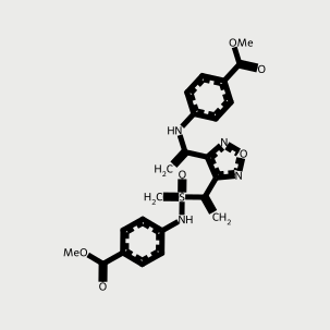 C=C(Nc1ccc(C(=O)OC)cc1)c1nonc1C(=C)S(=C)(=O)Nc1ccc(C(=O)OC)cc1